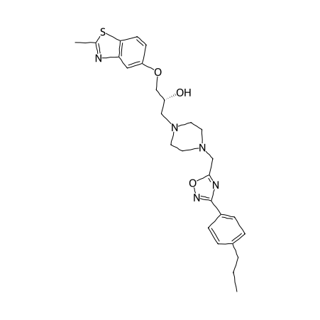 CCCc1ccc(-c2noc(CN3CCN(C[C@@H](O)COc4ccc5sc(C)nc5c4)CC3)n2)cc1